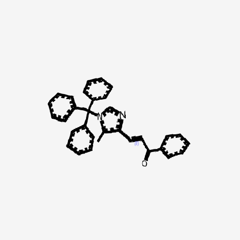 Cc1c(/C=C/C(=O)c2ccccc2)ncn1C(c1ccccc1)(c1ccccc1)c1ccccc1